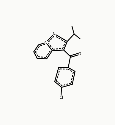 CC(C)c1nn2ccccc2c1C(=O)c1ccc(Cl)cc1